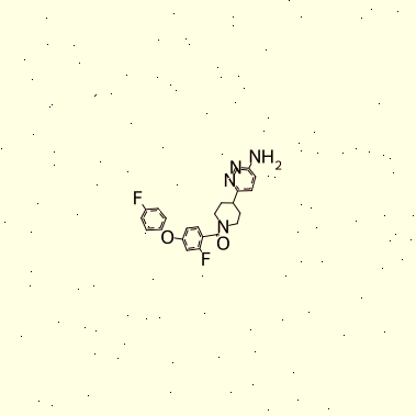 Nc1ccc(C2CCN(C(=O)c3ccc(Oc4ccc(F)cc4)cc3F)CC2)nn1